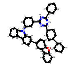 c1ccc(-c2ccc(-c3nc(-c4ccccc4)nc(-c4cccc(-n5c6ccccc6c6ccc(-c7ccc8oc9ccccc9c8c7)cc65)c4)n3)cc2)cc1